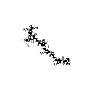 Cn1cc(NC(=O)c2nccn2C)cc1C(=O)NCCC(=O)Nc1cn(C)c(C(=O)Nc2cc(C(=O)NCC[C@@H](NC(=O)OC(C)(C)C)C(=O)Nc3cn(C)c(C(=O)O)n3)n(C)c2)n1